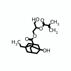 C=C(C)C(=O)OC(CO)COC(=O)C12CC3CC(O)(CC(CC)(C3)C1)C2